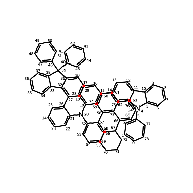 c1ccc(-n2c3ccccc3c3ccc(-c4cccc(N(c5ccccc5-c5cccc6c5-c5ccccc5C6(c5ccccc5)c5ccccc5)c5ccccc5-c5cccc6cccc(C7CCCCC7)c56)c4)cc32)cc1